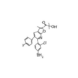 Bc1ccc(-c2nc3oc(C(=O)C(C)(C)O)c(C)c3cc2-c2ccc(I)cc2)c(Cl)c1